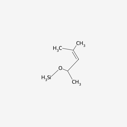 CC(C)=CC(C)O[SiH3]